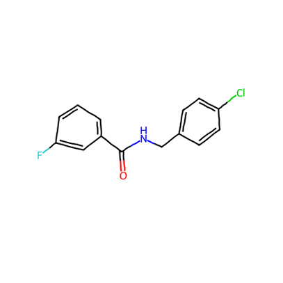 O=C(NCc1ccc(Cl)cc1)c1cccc(F)c1